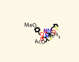 COc1ccc(COC(=O)C2=C(COC(C)=O)CS[C@@H]3N2C(=O)[C@@]3(C)NC(=O)Cc2cccs2)cc1